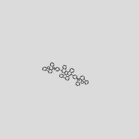 c1ccc(N(c2ccc(-c3cc4c(c5ccccc35)-c3c(cc(-c5ccc(N(c6ccccc6)c6cccc7c6oc6ccccc67)cc5)c5ccccc35)C43c4ccccc4-c4ccccc43)cc2)c2cccc3c2oc2ccccc23)cc1